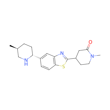 C[C@H]1CC[C@H](c2ccc3sc(C4CCN(C)C(=O)C4)nc3c2)NC1